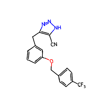 N#Cc1[nH]nnc1Cc1cccc(OCc2ccc(C(F)(F)F)cc2)c1